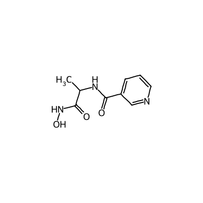 CC(NC(=O)c1cccnc1)C(=O)NO